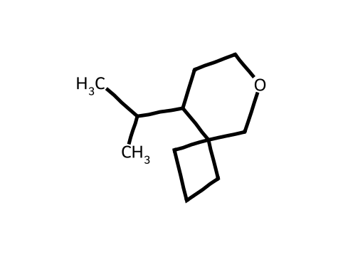 CC(C)C1CCOCC12CCC2